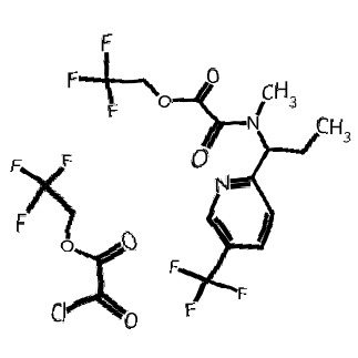 CCC(c1ccc(C(F)(F)F)cn1)N(C)C(=O)C(=O)OCC(F)(F)F.O=C(Cl)C(=O)OCC(F)(F)F